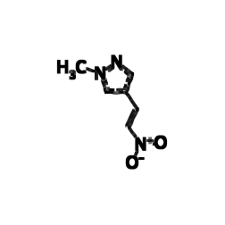 Cn1cc(C=C[N+](=O)[O-])cn1